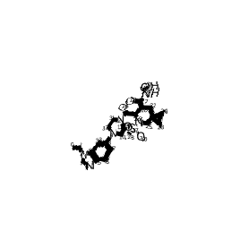 CCn1cnc2ccc(N3CCN(C(=O)C4C(C(=O)NO)CC5(CC5)CN4S(C)(=O)=O)CC3)cc21